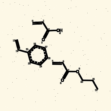 C=CC(=O)O.C=CC(=O)OCCC.C=Cc1ccccc1